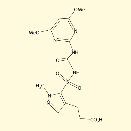 COc1cc(OC)nc(NC(=O)NS(=O)(=O)c2c(CCC(=O)O)cnn2C)n1